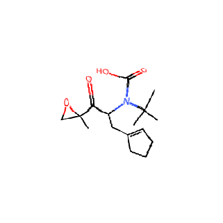 CC1(C(=O)C(CC2=CCCC2)N(C(=O)O)C(C)(C)C)CO1